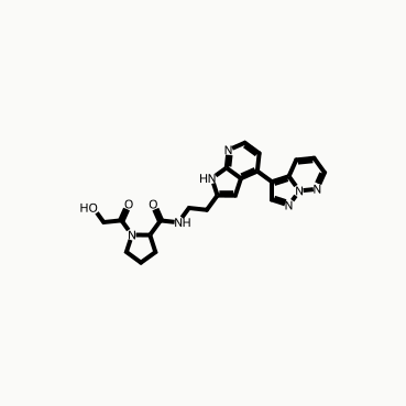 O=C(NCCc1cc2c(-c3cnn4ncccc34)ccnc2[nH]1)C1CCCN1C(=O)CO